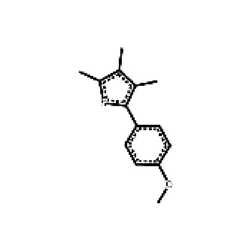 COc1ccc(-c2sc(C)c(C)c2C)cc1